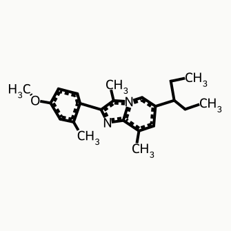 CCC(CC)c1cc(C)c2nc(-c3ccc(OC)cc3C)c(C)n2c1